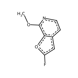 COc1nccc2cc(F)oc12